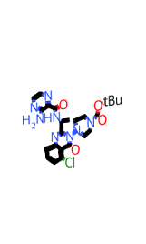 CC(NC(=O)c1nccnc1N)c1nc2cccc(Cl)c2c(=O)n1N1CCN(C(=O)OC(C)(C)C)CC1